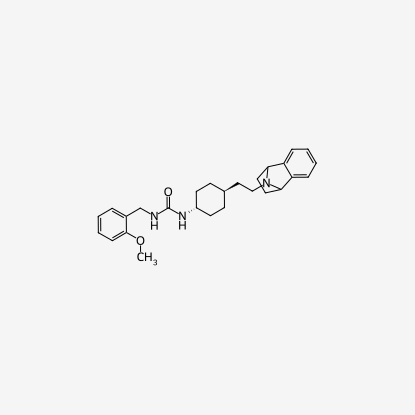 COc1ccccc1CNC(=O)N[C@H]1CC[C@H](CCN2C3CCC2c2ccccc23)CC1